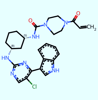 C=CC(=O)N1CCN(C(=O)N[C@H]2CCC[C@@H](Nc3ncc(Cl)c(-c4c[nH]c5ccccc45)n3)C2)CC1